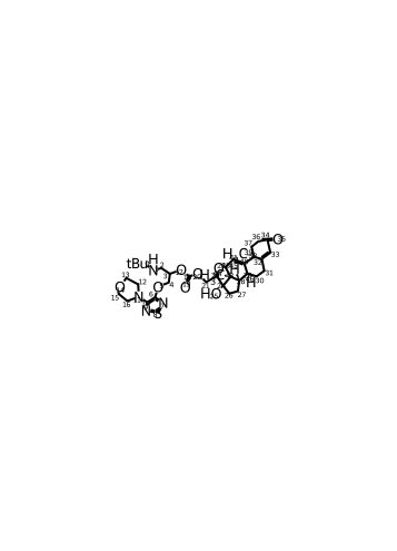 CC(C)(C)NCC(COc1nsnc1N1CCOCC1)OC(=O)OCC(=O)[C@@]1(O)CC[C@H]2[C@@H]3CCC4=CC(=O)CC[C@]4(C)C3=CC[C@@]21C